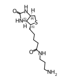 NCCCNC(=O)CCCC[C@@H]1SC[C@@H]2NC(=O)N[C@@H]21